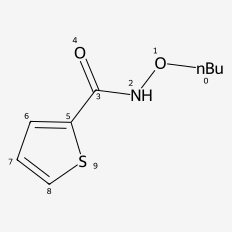 CCCCONC(=O)c1cccs1